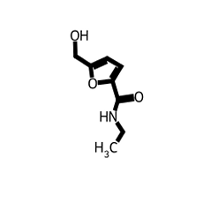 CCNC(=O)c1ccc(CO)o1